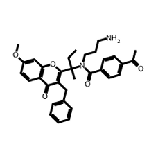 CCC(C)(c1oc2cc(OC)ccc2c(=O)c1Cc1ccccc1)N(CCCN)C(=O)c1ccc(C(C)=O)cc1